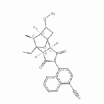 CCC12OC3(CC(OS)[C@@H]3[C@@H]1C)[C@H]1C(=O)N(c3ccc(C#N)c4ccccc34)C(=O)[C@H]12